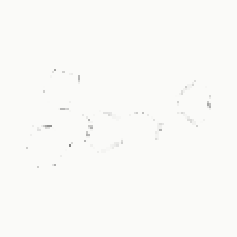 O=C(Nc1ccc2c(c1)C1(OCCCO1)C1=NCCCN12)c1ccccc1